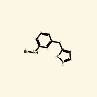 CCNc1cccc(Cc2ccno2)c1